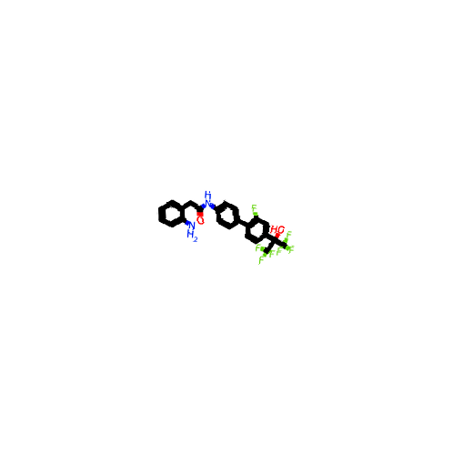 Nc1ccccc1CC(=O)Nc1ccc(-c2ccc(C(O)(C(F)(F)F)C(F)(F)F)cc2F)cc1